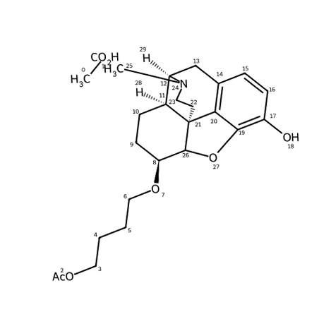 CC(=O)O.CC(=O)OCCCCO[C@H]1CC[C@H]2[C@H]3Cc4ccc(O)c5c4[C@@]2(CCN3C)C1O5